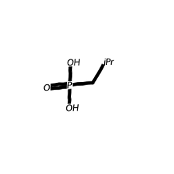 [CH2]C(C)CP(=O)(O)O